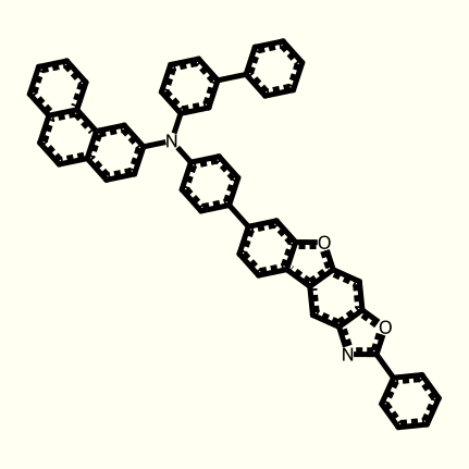 c1ccc(-c2cccc(N(c3ccc(-c4ccc5c(c4)oc4cc6oc(-c7ccccc7)nc6cc45)cc3)c3ccc4ccc5ccccc5c4c3)c2)cc1